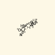 COc1cc(N[C@H]2CC[C@H](N(C)C(=O)OC(C)(C)C)CC2)ccc1C#N